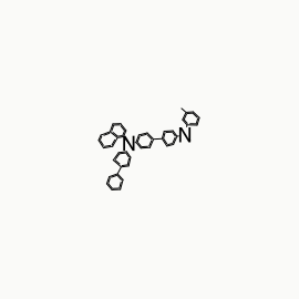 Cc1cccc(N(C)c2ccc(-c3ccc(N(c4ccc(-c5ccccc5)cc4)c4cccc5ccccc45)cc3)cc2)c1